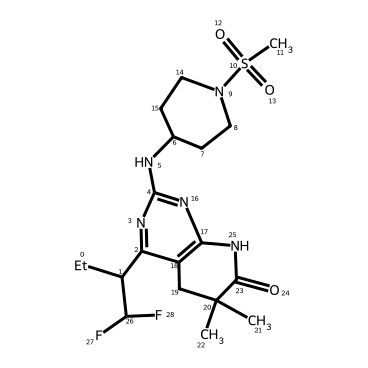 CCC(c1nc(NC2CCN(S(C)(=O)=O)CC2)nc2c1CC(C)(C)C(=O)N2)C(F)F